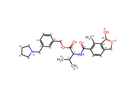 Cc1c(C(=O)NC(C(=O)OCc2cccc(CN3CCCC3)c2)C(C)C)ccc2c1B(O)OC2